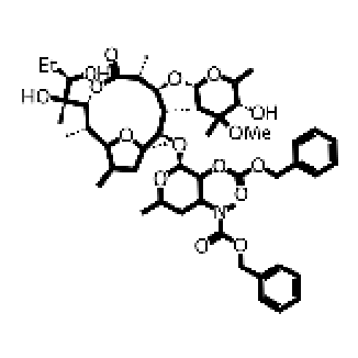 CC[C@@H](O)[C@@](C)(O)[C@@H]1OC(=O)[C@H](C)[C@@H](O[C@H]2CC(C)(OC)[C@@H](O)C(C)O2)[C@H](C)[C@@H](O[C@@H]2OC(C)CC(N(C)C(=O)OCc3ccccc3)C2OC(=O)OCc2ccccc2)[C@@]2(C)CC(C)C(O2)[C@@H]1C